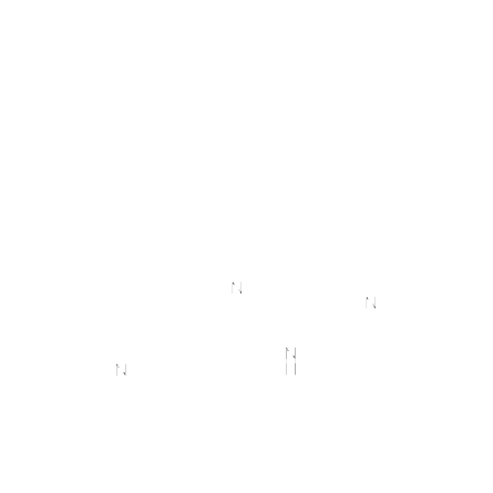 CC=C(C=CCN=C(NC#N)c1cccnc1)CC